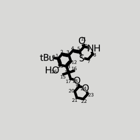 CC(C)(C)c1cc(C=C2SCCNC2=O)cc(C(C)(C)COC2CCCCO2)c1O